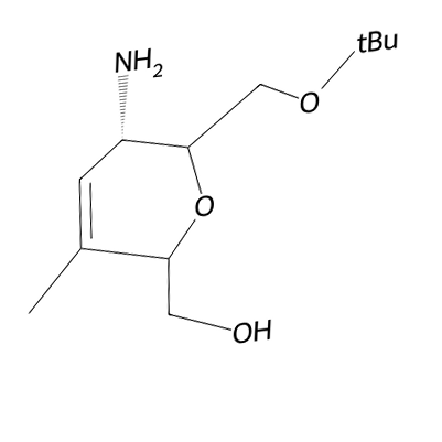 CC1=C[C@H](N)C(COC(C)(C)C)OC1CO